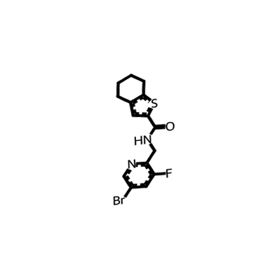 O=C(NCc1ncc(Br)cc1F)c1cc2c(s1)CCCC2